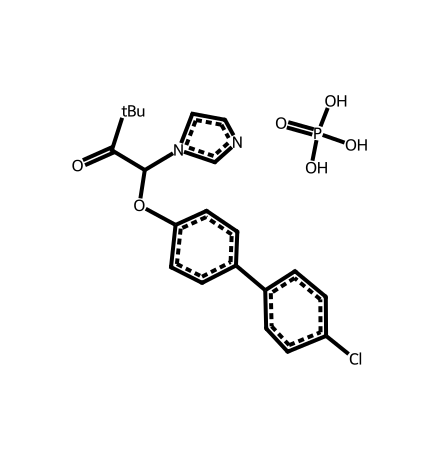 CC(C)(C)C(=O)C(Oc1ccc(-c2ccc(Cl)cc2)cc1)n1ccnc1.O=P(O)(O)O